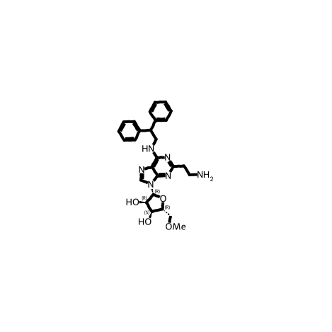 COC[C@H]1O[C@@H](n2cnc3c(NCC(c4ccccc4)c4ccccc4)nc(CCN)nc32)[C@H](O)[C@@H]1O